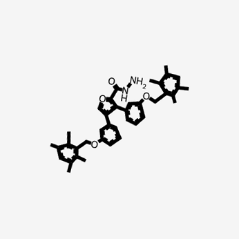 Cc1cc(C)c(C)c(COc2cccc(-c3coc(C(=O)NN)c3-c3cccc(OCc4c(C)c(C)cc(C)c4C)c3)c2)c1C